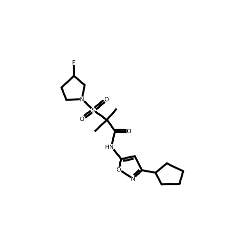 CC(C)(C(=O)Nc1cc(C2CCCC2)no1)S(=O)(=O)N1CCC(F)C1